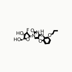 CCCOc1cccc2c1Nc1nc(=O)n([C@@H]3O[C@H](CO)[C@H](O)C3F)cc1O2